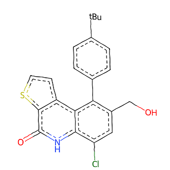 CC(C)(C)c1ccc(-c2c(CO)cc(Cl)c3[nH]c(=O)c4sccc4c23)cc1